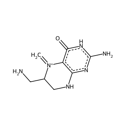 C=[N+]1c2c(nc(N)[nH]c2=O)NCC1CN